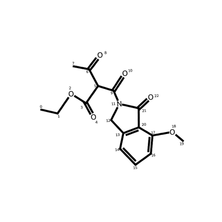 CCOC(=O)C(C(C)=O)C(=O)N1Cc2cccc(OC)c2C1=O